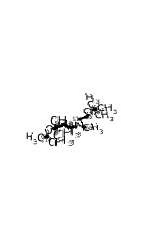 CC(C)OC(C)(C)CCN(C)CCOC(C)(C)C